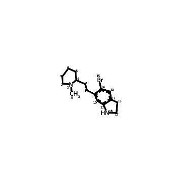 CN1CCCCC1CCc1cc2c(cc1Br)CCN2